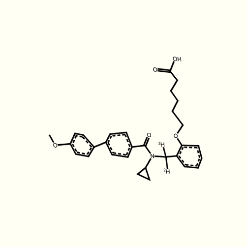 [2H]C([2H])(c1ccccc1OCCCCCC(=O)O)N(C(=O)c1ccc(-c2ccc(OC)cc2)cc1)C1CC1